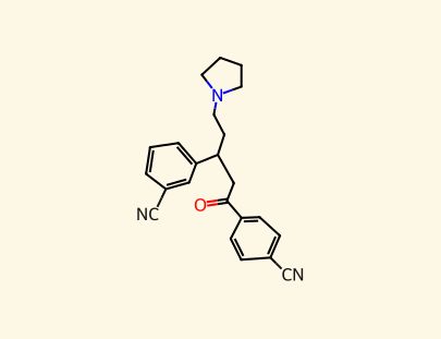 N#Cc1ccc(C(=O)CC(CCN2CCCC2)c2cccc(C#N)c2)cc1